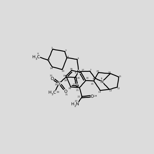 CC1CCC(CN(CCN2C3CCC2CC(c2ccccc2C(N)=O)C3)C(=O)CS(C)(=O)=O)CC1